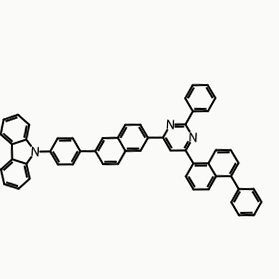 c1ccc(-c2nc(-c3ccc4cc(-c5ccc(-n6c7ccccc7c7ccccc76)cc5)ccc4c3)cc(-c3cccc4c(-c5ccccc5)cccc34)n2)cc1